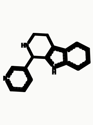 c1cncc(C2NCCc3c2[nH]c2ccccc32)c1